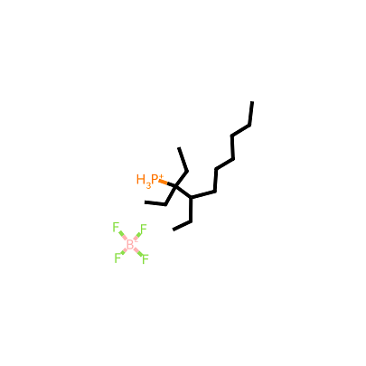 CCCCCCC(CC)C([PH3+])(CC)CC.F[B-](F)(F)F